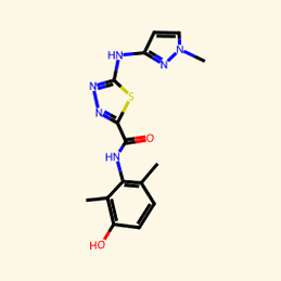 Cc1ccc(O)c(C)c1NC(=O)c1nnc(Nc2ccn(C)n2)s1